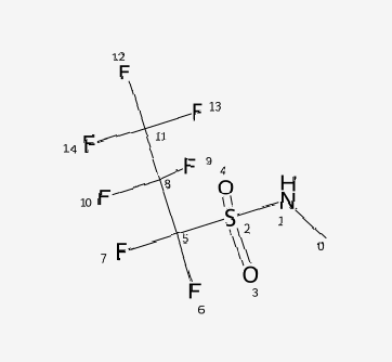 CNS(=O)(=O)C(F)(F)C(F)(F)C(F)(F)F